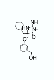 CN1C(=N)NC(COC2=CCCC(CO)=C2)(CC2CCCCC2)C1=O